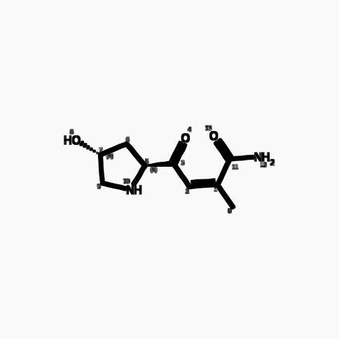 CC(=CC(=O)[C@@H]1C[C@@H](O)CN1)C(N)=O